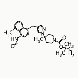 Cc1cccc2c(Cc3cnn(C4(C)CCN(C(=O)OC(C)(C)C)CC4)c3)ccc(NC=O)c12